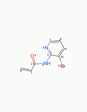 C=CC(=O)Nc1ncccc1Br